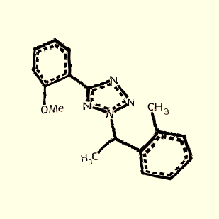 COc1ccccc1-c1nnn(C(C)c2ccccc2C)n1